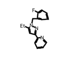 CCc1cc(-c2ccccn2)nn1Cc1ccccc1F